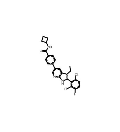 CCC1c2cc(-c3ccc(C(=O)NC4CCC4)cc3)cnc2NC1c1c(Cl)ccc(F)c1Cl